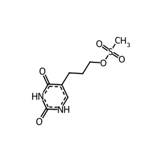 CS(=O)(=O)OCCCc1c[nH]c(=O)[nH]c1=O